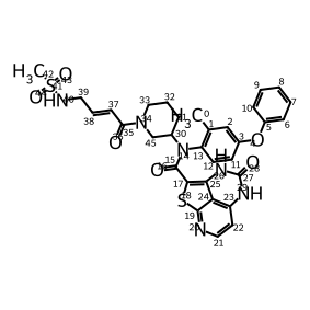 Cc1cc(Oc2ccccc2)ccc1N(C(=O)c1sc2nccc3c2c1NC(=O)N3)C1CCCN(C(=O)C=CCNS(C)(=O)=O)C1